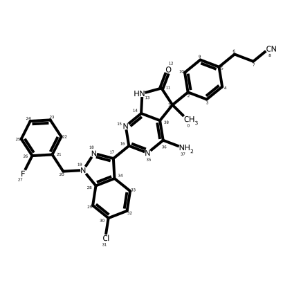 CC1(c2ccc(CCC#N)cc2)C(=O)Nc2nc(-c3nn(Cc4ccccc4F)c4cc(Cl)ccc34)nc(N)c21